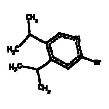 CC(C)c1cnc(Br)cc1C(C)C